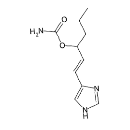 CCCC(C=Cc1c[nH]cn1)OC(N)=O